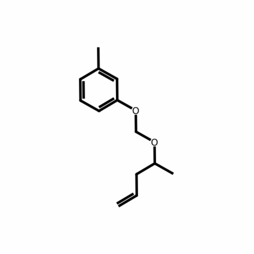 C=CCC(C)OCOc1cccc(C)c1